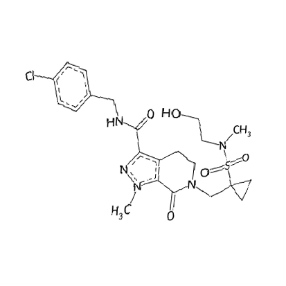 CN(CCO)S(=O)(=O)C1(CN2CCc3c(C(=O)NCc4ccc(Cl)cc4)nn(C)c3C2=O)CC1